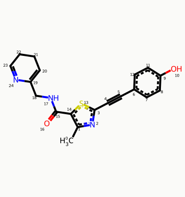 Cc1nc(C#Cc2ccc(O)cc2)sc1C(=O)NCC1=CCCC=N1